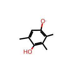 Cc1cc([O])c(C)c(C)c1O